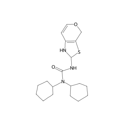 O=C(NC1NC2=C(COC=C2)S1)N(C1CCCCC1)C1CCCCC1